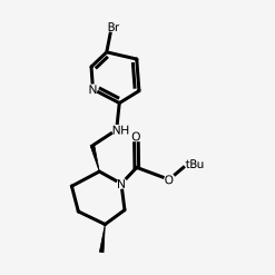 C[C@H]1CC[C@@H](CNc2ccc(Br)cn2)N(C(=O)OC(C)(C)C)C1